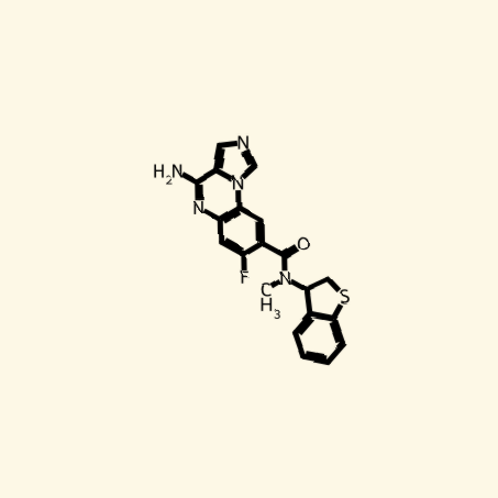 CN(C(=O)c1cc2c(cc1F)nc(N)c1cncn12)C1CSc2ccccc21